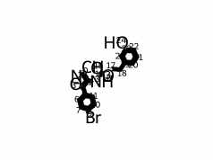 Cc1noc(-c2ccc(Br)cc2)c1NC(=O)OCCc1cccc(O)c1